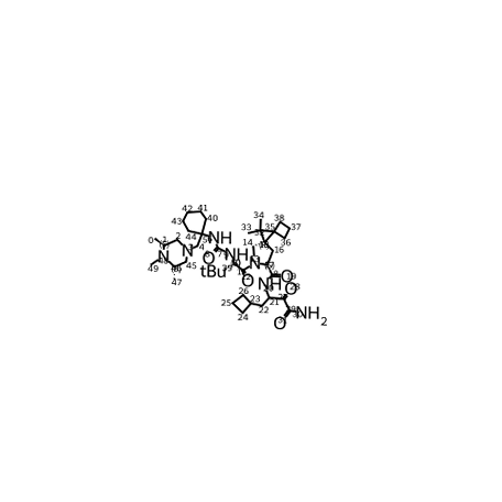 C[C@H]1CN(CC2(NC(=O)N[C@H](C(=O)N3C[C@]4(C[C@H]3C(=O)NC(CC3CCC3)C(=O)C(N)=O)C(C)(C)C43CCC3)C(C)(C)C)CCCCC2)C[C@H](C)N1C